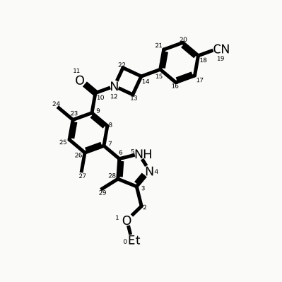 CCOCc1n[nH]c(-c2cc(C(=O)N3CC(c4ccc(C#N)cc4)C3)c(C)cc2C)c1C